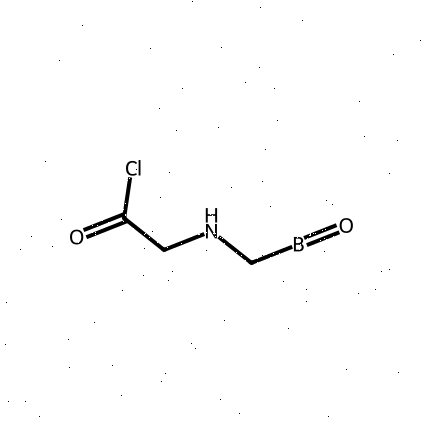 O=BCNCC(=O)Cl